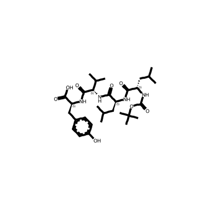 CC(C)C[C@H](NC(=O)OC(C)(C)C)C(=O)N[C@@H](CC(C)C)C(=O)N[C@H](C(=O)N[C@@H](Cc1ccc(O)cc1)C(=O)O)C(C)C